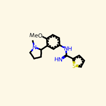 COc1ccc(NC(=N)c2cccs2)cc1C1CCCN1C